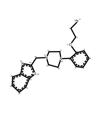 [18F]CCOc1ccccc1N1CCN(Cc2nc3ccccc3s2)CC1